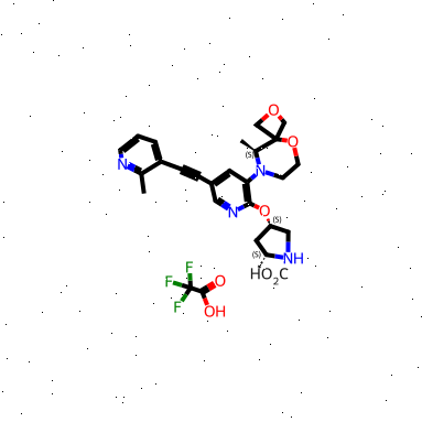 Cc1ncccc1C#Cc1cnc(O[C@@H]2CN[C@H](C(=O)O)C2)c(N2CCOC3(COC3)[C@@H]2C)c1.O=C(O)C(F)(F)F